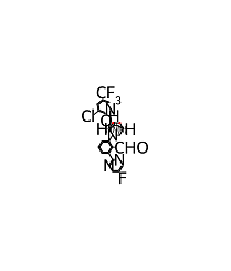 O=Cc1c(-c2ncc(F)cn2)cccc1N1C[C@@H]2CC[C@H]1[C@H](Oc1ncc(C(F)(F)F)cc1Cl)C2